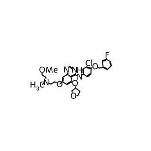 COCCN(C)CCOc1cc(OC2CCOC2)c2c(Nc3ccc(OCc4cccc(F)c4)c(Cl)c3)ncnc2c1